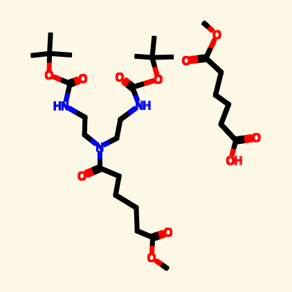 COC(=O)CCCCC(=O)N(CCNC(=O)OC(C)(C)C)CCNC(=O)OC(C)(C)C.COC(=O)CCCCC(=O)O